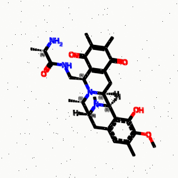 COc1c(C)cc2c(c1O)[C@@H]1[C@@H]3CC4=C(C(=O)C(C)=C(C)C4=O)[C@H](CNC(=O)[C@H](C)N)N3[C@@H](C)[C@@H](C2)N1C